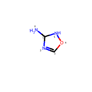 N[C]1N=CON1